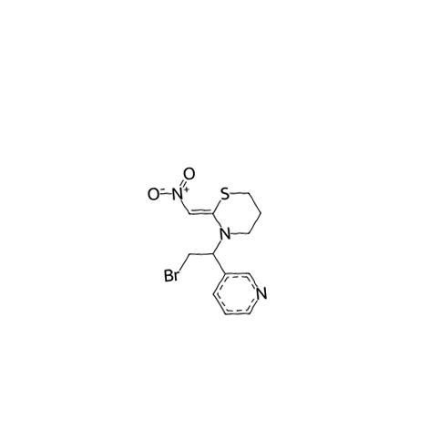 O=[N+]([O-])C=C1SCCCN1C(CBr)c1cccnc1